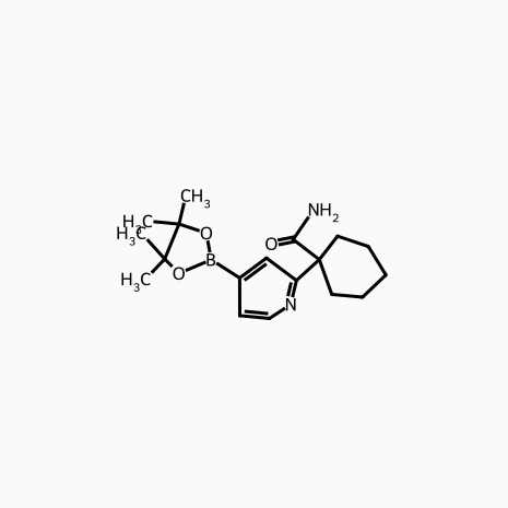 CC1(C)OB(c2ccnc(C3(C(N)=O)CCCCC3)c2)OC1(C)C